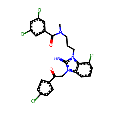 CN(CCCn1c(=N)n(CC(=O)c2ccc(Cl)cc2)c2cccc(Cl)c21)C(=O)c1cc(Cl)cc(Cl)c1